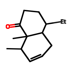 CCC1CCC(=O)C2(C)C(C)C=CCC12